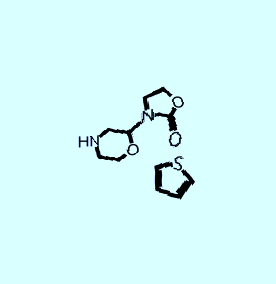 O=C1OCCN1C1CNCCO1.c1ccsc1